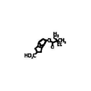 CCC(C)(C)C(=O)OC1CC2CC1C1CC(C(=O)O)CC21